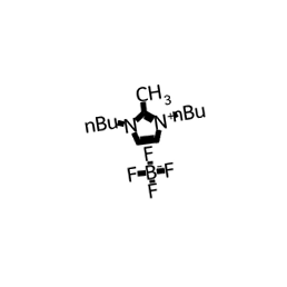 CCCCn1cc[n+](CCCC)c1C.F[B-](F)(F)F